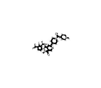 C[C@@H](Nc1nn(C)c(=O)c2cnc(C3CCN(C(=O)C4CCN(C)CC4)CC3)cc12)c1cccc(C(F)F)c1F